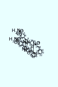 NS(=O)(=O)c1ccc(-c2cn(C3CCN(C(=O)/C=C/c4ccccc4)CC3)nn2)cc1.NS(=O)(=O)c1ccc(-c2cn(CC(=O)Nc3nccs3)nn2)cc1